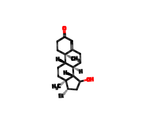 CC[C@H]1CC(O)[C@H]2[C@@H]3CCC4=CC(=O)CC[C@]4(C)[C@H]3CC[C@]12C